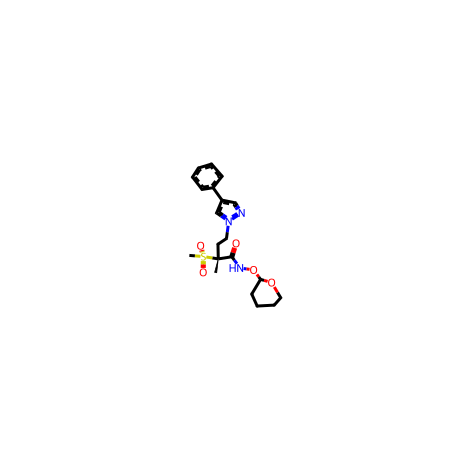 C[C@@](CCn1cc(-c2ccccc2)cn1)(C(=O)NOC1CCCCO1)S(C)(=O)=O